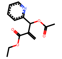 C=C(C(=O)OCC)C(OC(C)=O)c1ccccn1